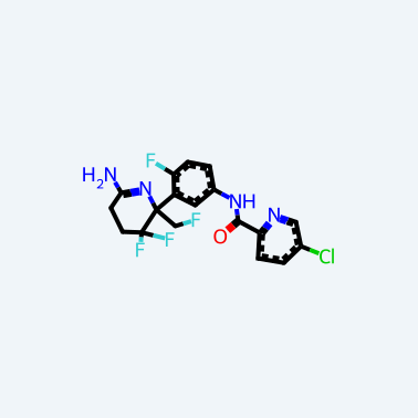 NC1=NC(CF)(c2cc(NC(=O)c3ccc(Cl)cn3)ccc2F)C(F)(F)CC1